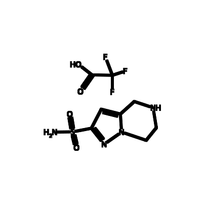 NS(=O)(=O)c1cc2n(n1)CCNC2.O=C(O)C(F)(F)F